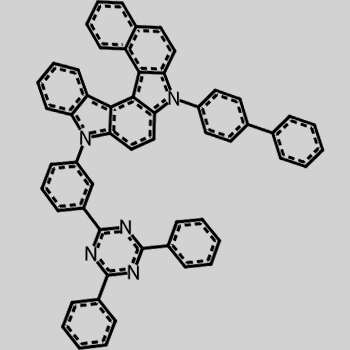 c1ccc(-c2ccc(-n3c4ccc5ccccc5c4c4c5c6ccccc6n(-c6cccc(-c7nc(-c8ccccc8)nc(-c8ccccc8)n7)c6)c5ccc43)cc2)cc1